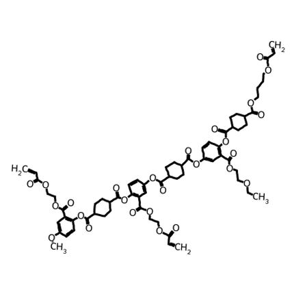 C=CC(=O)OCCCCOC(=O)C1CCC(C(=O)Oc2ccc(OC(=O)C3CCC(C(=O)Oc4ccc(OC(=O)C5CCC(C(=O)Oc6ccc(OC)cc6C(=O)OCCOC(=O)C=C)CC5)c(C(=O)OCCOC(=O)C=C)c4)CC3)cc2C(=O)OCCOCC)CC1